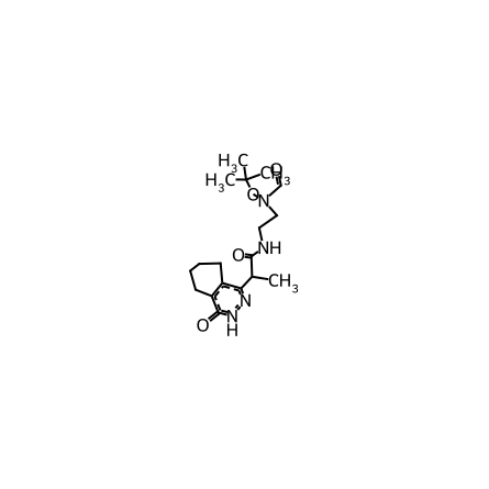 CC(C(=O)NCCN(C=O)OC(C)(C)C)c1n[nH]c(=O)c2c1CCCC2